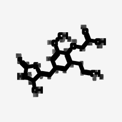 C=CCc1cc(/C=C2\SC(=S)NC2O)cc(OC)c1OCC(=O)O